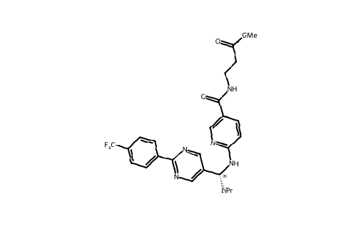 CCC[C@@H](Nc1ccc(C(=O)NCCC(=O)OC)cn1)c1cnc(-c2ccc(C(F)(F)F)cc2)nc1